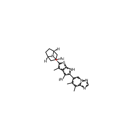 CC(=O)CN1[C@@H]2CC[C@H]1C[C@H](c1sc3[nH]c(-c4cn5ncnc5c(C)c4C)c(C(C)C)c3c1C)C2